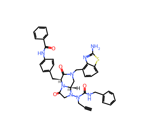 C#CCN(C(=O)NCc1ccccc1)N1CC(=O)N2[C@@H](Cc3ccc(NC(=O)c4ccccc4)cc3)C(=O)N(Cc3cccc4sc(N)nc34)C[C@@H]21